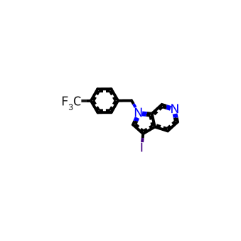 FC(F)(F)c1ccc(Cn2cc(I)c3ccncc32)cc1